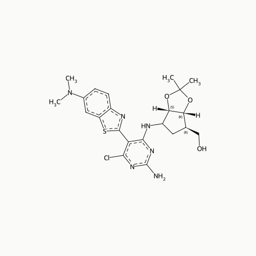 CN(C)c1ccc2nc(-c3c(Cl)nc(N)nc3NC3C[C@H](CO)[C@H]4OC(C)(C)O[C@@H]34)sc2c1